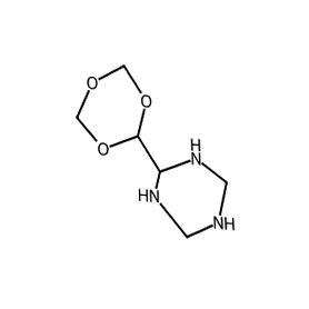 C1NCNC(C2OCOCO2)N1